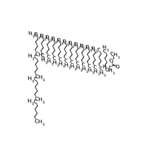 CCCCCC.CCCCCC.CCCCCC.CCCCCC.CCCCCC.CCCCCC.CCCCCC.CCCCCC.CCCCCC.CCCCCC.CCCCCC.CCCCCC.CCCCCC.CCCCCC.CCCCCC.CCCCCC.CCOC(C)=O